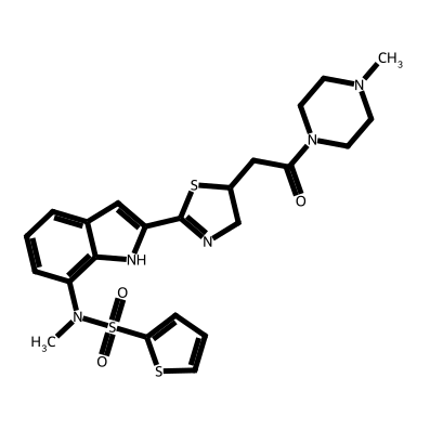 CN1CCN(C(=O)CC2CN=C(c3cc4cccc(N(C)S(=O)(=O)c5cccs5)c4[nH]3)S2)CC1